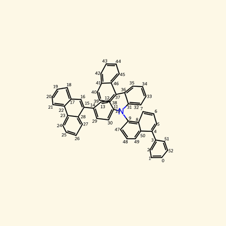 c1ccc(-c2cccc3c(N(c4ccc(-c5cc6ccccc6c6ccccc56)cc4)c4ccccc4-c4cccc5ccccc45)cccc23)cc1